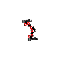 CCCCC(CC)C(=O)OCCOCC(C)OCCOC(=O)C(CC)CCCC